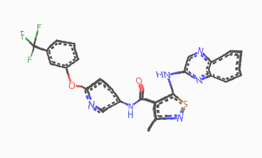 Cc1nsc(Nc2cnc3ccccc3n2)c1C(=O)Nc1ccc(Oc2cccc(C(F)(F)F)c2)nc1